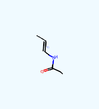 C/C=C/NC(C)=O